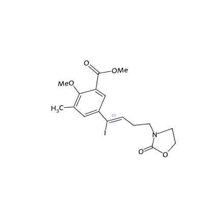 COC(=O)c1cc(/C(I)=C/CCN2CCOC2=O)cc(C)c1OC